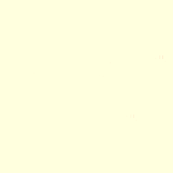 C=CCCCCOC(CCCCCc1ccc2ccc3c4c2c1C=CC4C=CC3)OCCCCC=C